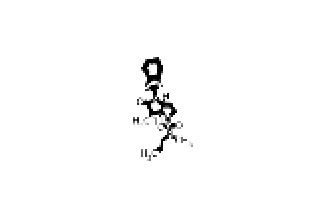 C=CCN(C)S(=O)(=O)N1CC[C@H]2[C@H]1[C@H](C)C(=O)N2c1nc2ccccc2s1